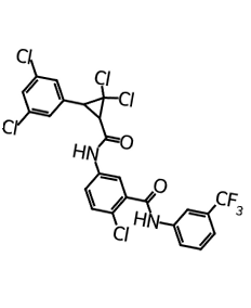 O=C(Nc1cccc(C(F)(F)F)c1)c1cc(NC(=O)C2C(c3cc(Cl)cc(Cl)c3)C2(Cl)Cl)ccc1Cl